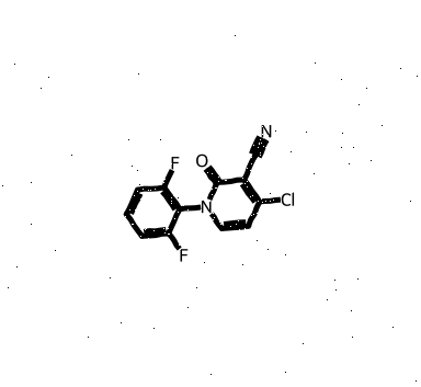 N#Cc1c(Cl)ccn(-c2c(F)cccc2F)c1=O